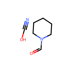 N#CO.O=CN1CCCCC1